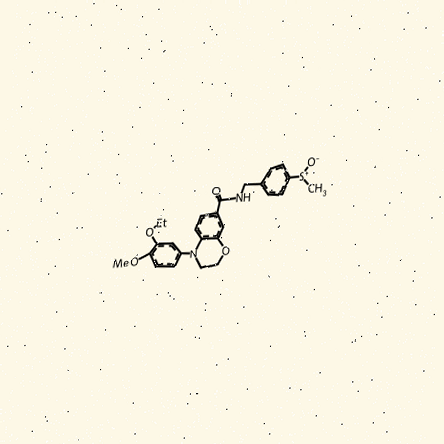 CCOc1cc(N2CCOc3cc(C(=O)NCc4ccc([S+](C)[O-])cc4)ccc32)ccc1OC